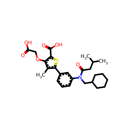 Cc1c(-c2cccc(N(CC3CCCCC3)C(=O)CC(C)C)c2)sc(C(=O)O)c1OCC(=O)O